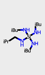 CCC(C)N[Si](NCC(C)C)(NC(C)CC)NC(C)CC